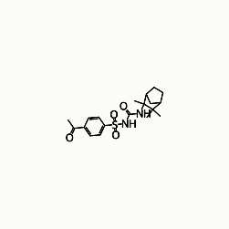 CC(=O)c1ccc(S(=O)(=O)NC(=O)NC2(C)C3CCC(C3)C2(C)C)cc1